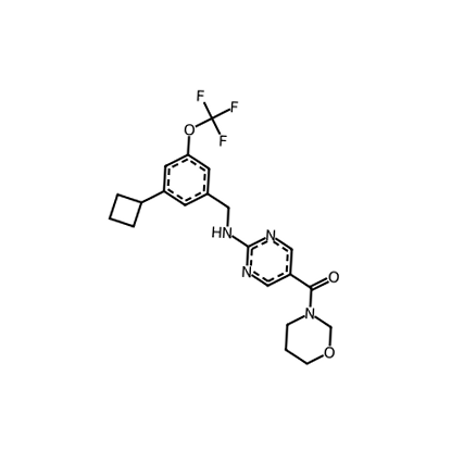 O=C(c1cnc(NCc2cc(OC(F)(F)F)cc(C3CCC3)c2)nc1)N1CCCOC1